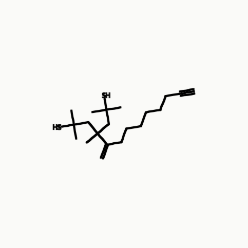 C#CCCCCCCC(=C)C(C)(CC(C)(C)S)CC(C)(C)S